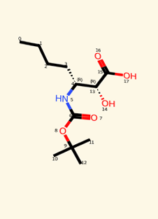 CCCC[C@@H](NC(=O)OC(C)(C)C)[C@@H](O)C(=O)O